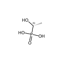 C[C@@H](O)P(=O)(O)O